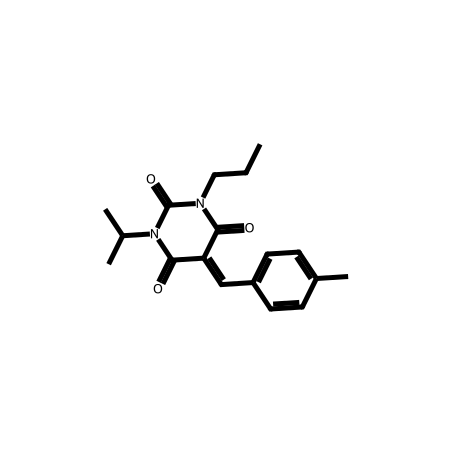 CCCN1C(=O)/C(=C\c2ccc(C)cc2)C(=O)N(C(C)C)C1=O